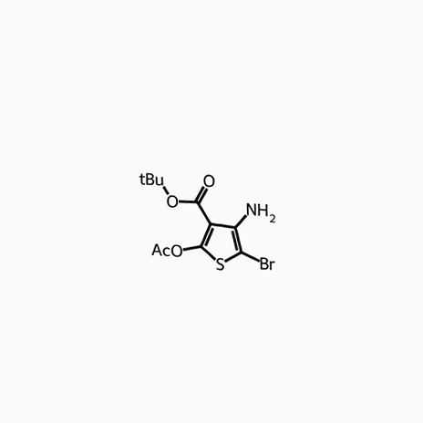 CC(=O)Oc1sc(Br)c(N)c1C(=O)OC(C)(C)C